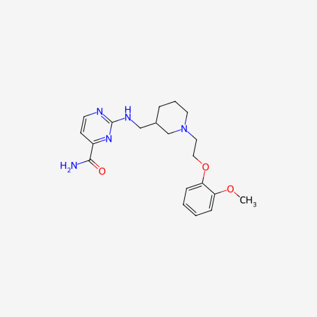 COc1ccccc1OCCN1CCCC(CNc2nccc(C(N)=O)n2)C1